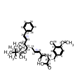 COc1ccc(C[C@@H](NC(=O)/C=C/C[C@H](O[Si](C)(C)C(C)(C)C)[C@H](C)/C=C/c2ccccc2)C(=O)O)cc1Cl